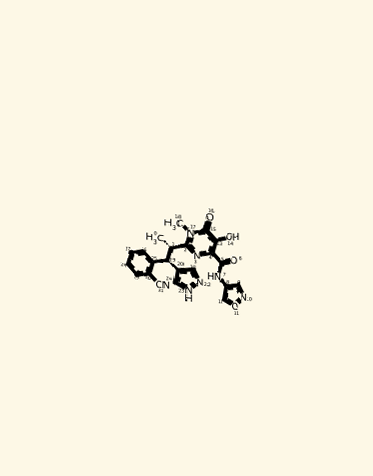 C[C@H](c1nc(C(=O)Nc2cnoc2)c(O)c(=O)n1C)[C@@H](c1cn[nH]c1)c1ccccc1C#N